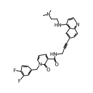 CN(C)CCNc1ccnc2ccc(C#CCNC(=O)c3cccn(Cc4ccc(F)c(F)c4)c3=O)cc12